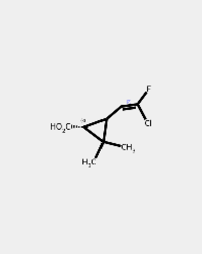 CC1(C)C(/C=C(/F)Cl)[C@H]1C(=O)O